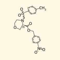 Cc1ccc(S(=O)(=O)SN2CCOC[C@@H]2C(=O)OCc2ccc([N+](=O)[O-])cc2)cc1